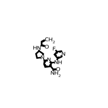 C=CC(=O)NC1CCN(c2ccc(C(N)=O)c(Nc3cncc(F)c3)n2)C1